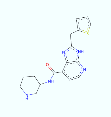 O=C(NC1CCCNC1)c1ccnc2[nH]c(Cc3cccs3)nc12